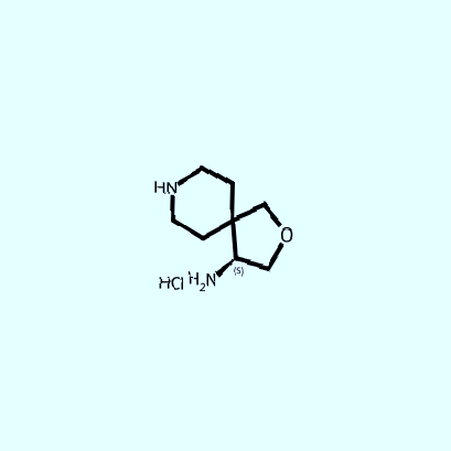 Cl.N[C@@H]1COCC12CCNCC2